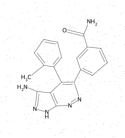 Cc1ccccc1-c1c(-c2cccc(C(N)=O)c2)nnc2[nH]nc(N)c12